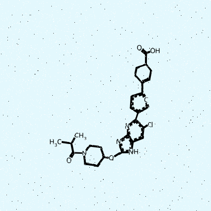 CC(C)C(=O)N1CCC(Oc2nc3nc(-c4ccc(C5=CCC(C(=O)O)CC5)cc4)c(Cl)cc3[nH]2)CC1